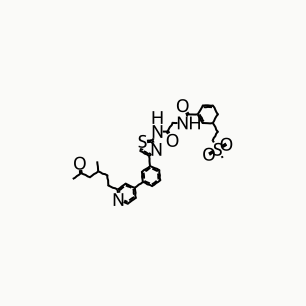 CC(=O)CC(C)CCc1cc(-c2cccc(-c3csc(NC(=O)CNC(=O)C4=CC(CCS(C)(=O)=O)CC=C4)n3)c2)ccn1